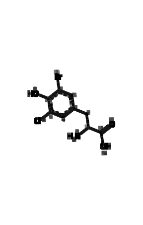 NC(Cc1cc(Cl)c(O)c(Br)c1)C(=O)O